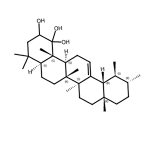 C[C@H]1[C@H](C)CC[C@]2(C)CC[C@]3(C)C(=CC[C@@H]4[C@]5(C)[C@@H](CC[C@]43C)C(C)(C)CC(O)C5(O)O)[C@H]12